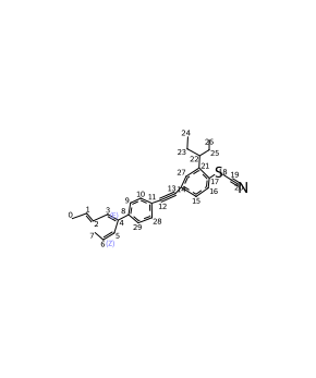 CC=C/C=C(\C=C/C)c1ccc(C#Cc2ccc(SC#N)c(C(CC)CC)c2)cc1